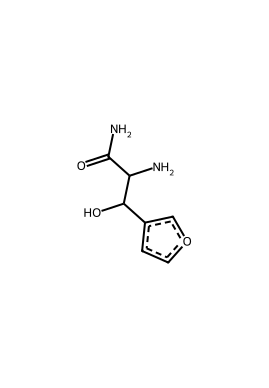 NC(=O)C(N)C(O)c1ccoc1